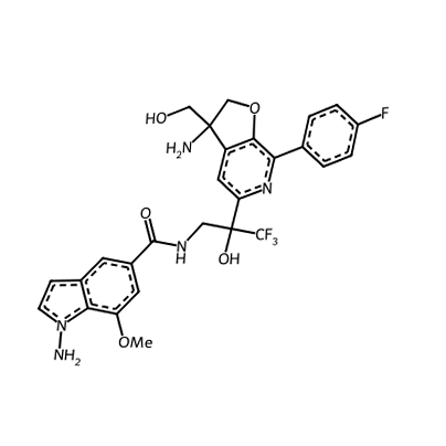 COc1cc(C(=O)NCC(O)(c2cc3c(c(-c4ccc(F)cc4)n2)OCC3(N)CO)C(F)(F)F)cc2ccn(N)c12